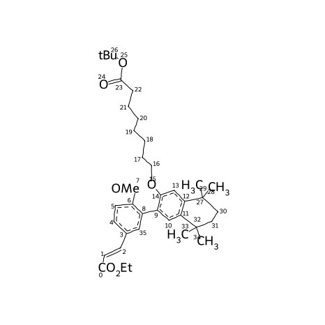 CCOC(=O)/C=C/c1ccc(OC)c(-c2cc3c(cc2OCCCCCCCC(=O)OC(C)(C)C)C(C)(C)CCC3(C)C)c1